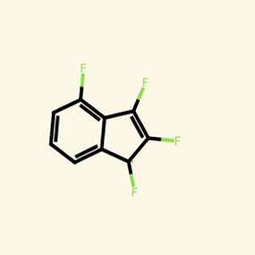 F[C]1C(F)=C(F)c2c(F)cccc21